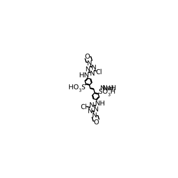 O=S(=O)(O)c1cc(Nc2nc(Cl)nc(N3CCOCC3)n2)ccc1/C=C/c1ccc(Nc2nc(Cl)nc(N3CCOCC3)n2)cc1S(=O)(=O)O.[NaH].[NaH]